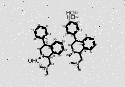 CN(C)CC1c2ccccc2C(c2ccccc2)CN1C.CN(C)CC1c2ccccc2C(c2ccccc2)CN1C=O.Cl.Cl